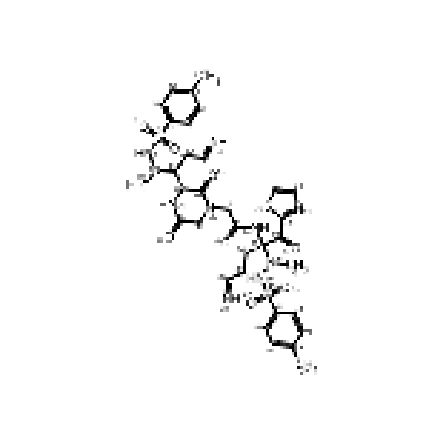 Cc1ccc(S(=O)(=O)NN(C)C(CC=N)[C@@H]2NC(=O)CN(CC(=O)N[C@](CCC=N)(C(=O)c3nccs3)N(C)NS(=O)(=O)c3ccc(C)cc3)C2=O)cc1